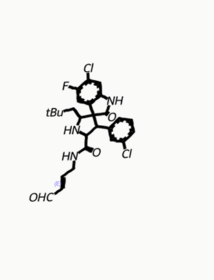 CC(C)(C)CC1NC(C(=O)NC/C=C/C=O)C(c2cccc(Cl)c2)C12C(=O)Nc1cc(Cl)c(F)cc12